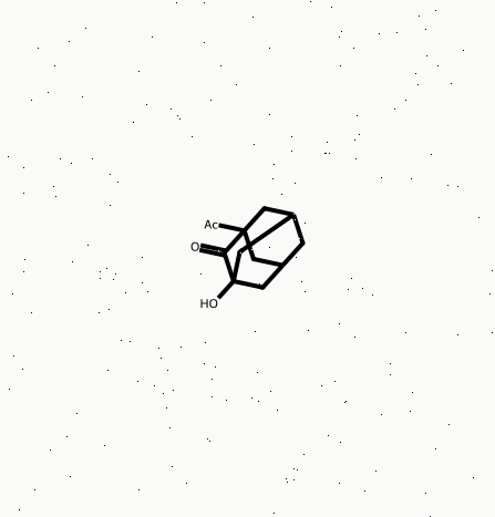 CC(=O)C12CC3CC(CC(O)(C3)C1=O)C2